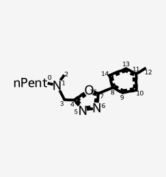 CCCCCN(C)Cc1nnc(-c2ccc(C)cc2)o1